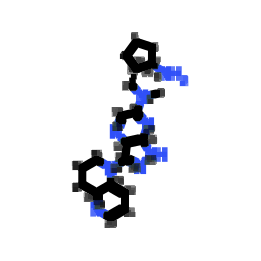 CN(C[C@@H]1CCC[C@H]1N)c1cnc2c(N3CCCc4ncccc43)n[nH]c2n1